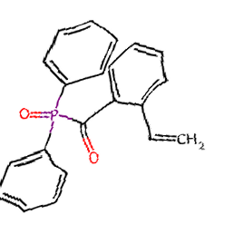 C=Cc1ccccc1C(=O)P(=O)(c1ccccc1)c1ccccc1